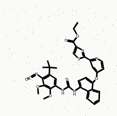 CCOC(=O)c1csc(-c2cc(Oc3ccc(NC(=O)Nc4cc(C(C)(C)C)c(N=C=O)c(OC)c4OC)c4ccccc34)ccn2)n1